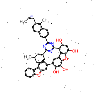 C/C=C\c1ccc2cc(-c3nc(C4=CC(C)CC=C4)nc(-c4c(O)cc(O)c5oc6c(O)c(O)c(-c7ccc8c(c7)oc7ccccc78)cc6c45)n3)ccc2c1C